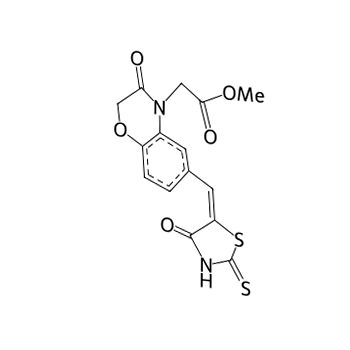 COC(=O)CN1C(=O)COc2ccc(/C=C3/SC(=S)NC3=O)cc21